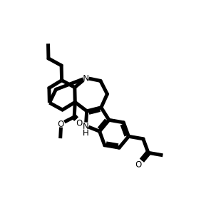 CCCC1CC2CN3CCc4c([nH]c5ccc(CC(C)=O)cc45)C(C(=O)OC)(C2)C13